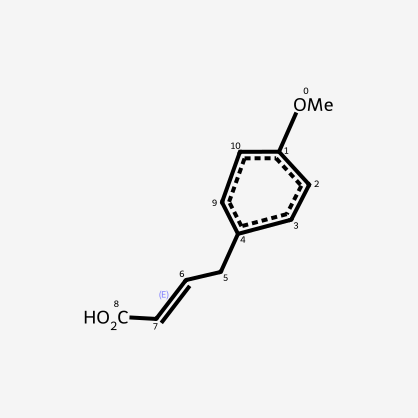 COc1ccc(C/C=C/C(=O)O)cc1